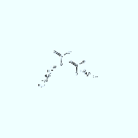 O.O.O.O.O.O.O.O=[N+]([O-])[O-].O=[N+]([O-])[O-].[Ca+2]